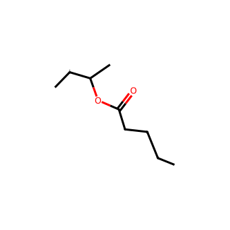 C[CH]C(C)OC(=O)CCCC